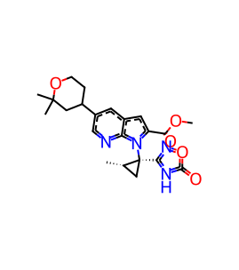 COC(=O)c1cc2cc(C3CCOC(C)(C)C3)cnc2n1[C@@]1(c2noc(=O)[nH]2)C[C@@H]1C